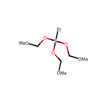 CC[Si](OCOC)(OCOC)OCOC